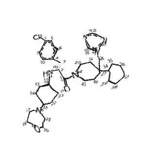 O=C([C@@H](Cc1ccc(Cl)cc1)NC1CCC(N2CCOCC2)CC1)N1CCC(Cn2cncn2)(C2CCCCC2)CC1